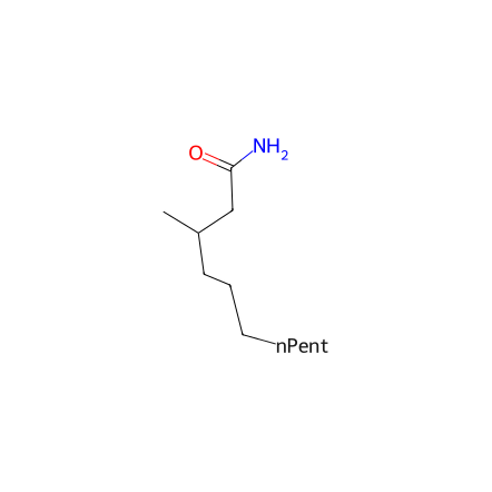 CCCCCCCCC(C)CC(N)=O